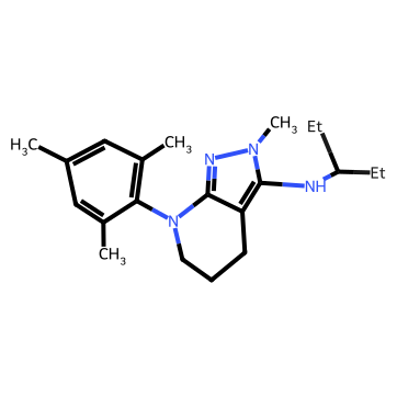 CCC(CC)Nc1c2c(nn1C)N(c1c(C)cc(C)cc1C)CCC2